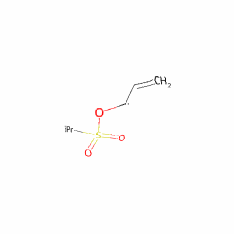 C=C[CH]OS(=O)(=O)C(C)C